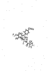 COc1ccc([C@H](NC(=O)[C@H](C)NC(=O)C2(C(F)(F)F)CCCC2)C(=O)N[C@H](C(=O)C(F)(F)F)C(C)C)cc1